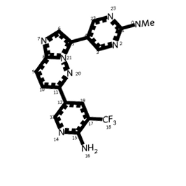 CNc1ncc(-c2cnc3ccc(-c4cnc(N)c(C(F)(F)F)c4)nn23)cn1